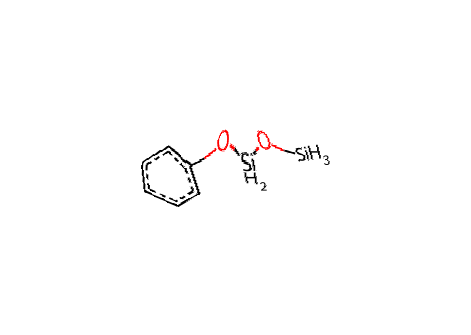 [SiH3]O[SiH2]Oc1ccccc1